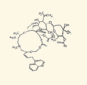 CCC(=O)O[C@@H]1CC(=O)OCCC(/C=C\Cc2ccnc3ccccc23)CN(C)C[C@H](OC(C)=O)[C@H](C)C[C@H](CC=O)[C@H](O[C@@H]2OC(C)[C@@H](O[C@H]3CC(C)(O)[C@@H](OC(=O)CC)C(C)O3)C(N(C)C)C2O)[C@H]1OC